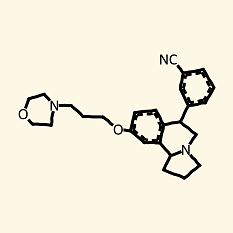 N#Cc1cccc(C2CN3CCCC3c3cc(OCCCN4CCOCC4)ccc32)c1